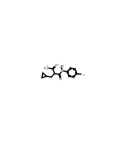 CC(C)N(C(=O)C(CC1CC1)C(N)=O)c1ccc(F)cc1